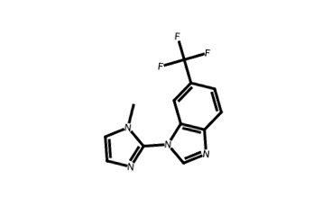 Cn1ccnc1-n1cnc2ccc(C(F)(F)F)cc21